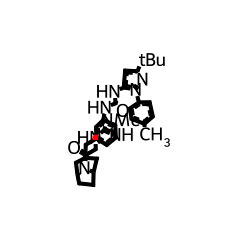 CNC(=N)NCC(=O)N1C2CCC1CC(Cc1cccc(NC(=O)Nc3cc(C(C)(C)C)nn3-c3ccc(C)cc3)c1)C2